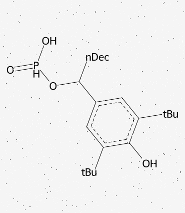 CCCCCCCCCCC(O[PH](=O)O)c1cc(C(C)(C)C)c(O)c(C(C)(C)C)c1